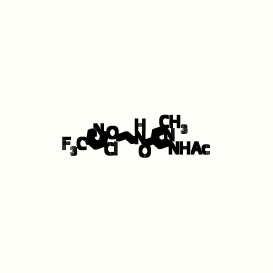 CC(=O)Nc1cc(C(=O)NCCCOc2ncc(C(F)(F)F)cc2Cl)cc(C)n1